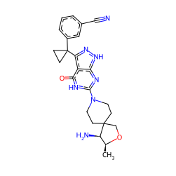 C[C@@H]1OCC2(CCN(c3nc4[nH]nc(C5(c6cccc(C#N)c6)CC5)c4c(=O)[nH]3)CC2)[C@@H]1N